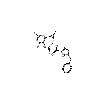 CC1C2c3cc(F)cc(F)c3NC(=O)[C@@H](NC(=O)c3nnc(Cc4ccccc4)o3)C12